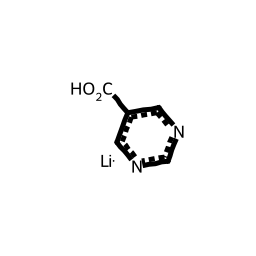 O=C(O)c1cncnc1.[Li]